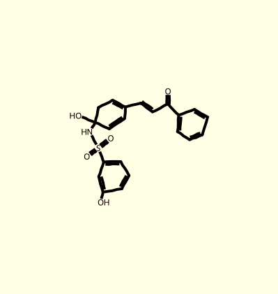 O=C(C=CC1=CCC(O)(NS(=O)(=O)c2cccc(O)c2)C=C1)c1ccccc1